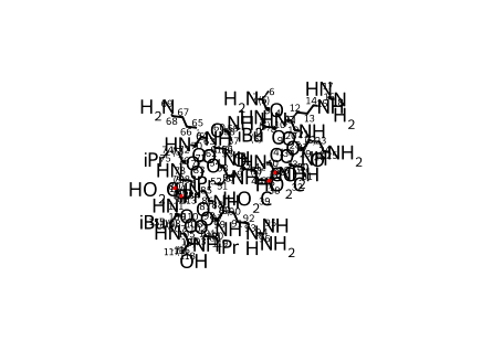 CC[C@H](C)[C@H](NC(=O)[C@H](C)N)C(=O)N[C@@H](CCCNC(=N)N)C(=O)N[C@@H](CC(N)=O)C(=O)N[C@@H](CC(=O)O)C(=O)N[C@@H](CCC(=O)O)C(=O)N[C@@H](CCC(=O)O)C(=O)N[C@@H](CC(C)C)C(=O)N[C@@H](CC(N)=O)C(=O)N[C@@H](CCCCN)C(=O)N[C@@H](CC(C)C)C(=O)N[C@@H](CC(C)C)C(=O)NCC(=O)N[C@@H](CCCNC(=N)N)C(=O)N[C@H](C(=O)N[C@H](C(=O)N[C@H](C(=O)N[C@@H](C)C(=O)O)[C@@H](C)CC)[C@@H](C)O)C(C)C